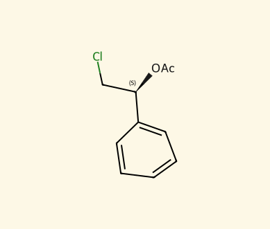 CC(=O)O[C@H](CCl)c1ccccc1